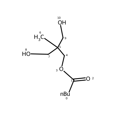 CCCCC(=O)OCC(C)(CO)CO